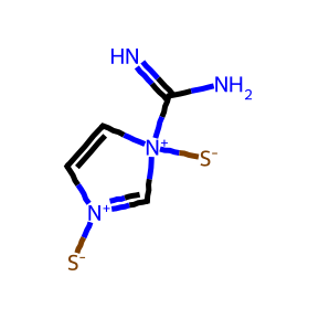 N=C(N)[N+]1([S-])C=C[N+]([S-])=C1